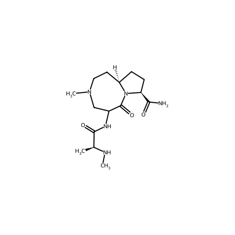 CN[C@@H](C)C(=O)NC1CN(C)CC[C@H]2CC[C@@H](C(N)=O)N2C1=O